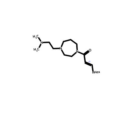 CCCCCC/C=C/C(=O)N1CCCN(CCN(C)C)CC1